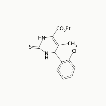 CCOC(=O)C1=C(C)C(c2ccccc2Cl)NC(=S)N1